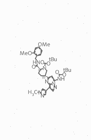 COc1ccc(CNC(=O)[C@@H]2CC[C@H](c3cc(NC(=O)OC(C)(C)C)n4ncc(-c5cnn(C)c5)c4n3)CN2C(=O)OC(C)(C)C)c(OC)c1